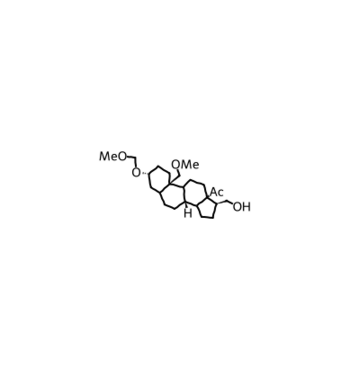 COCO[C@@H]1CC[C@@]2(COC)C(CC[C@@H]3C2CC[C@@]2(C(C)=O)C3CC[C@@H]2CO)C1